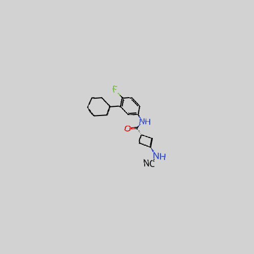 N#CN[C@H]1C[C@H](C(=O)Nc2ccc(F)c(C3CCCCC3)c2)C1